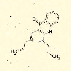 C=CC/N=C/c1c(NCC=C)nc2ccccn2c1=O